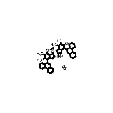 CCCCC1=Cc2c(-c3cc4ccccc4c4ccccc34)c(C)c(C)c(C)c2[CH]1[Zr+2]1([CH]2C(CCCC)=Cc3c(-c4cc5ccccc5c5ccccc45)c(C)c(C)c(C)c32)[CH2][CH2]1.[Cl-].[Cl-]